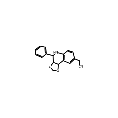 N#CCc1ccc2c(c1)C1OCOC1C(c1ccccc1)N2